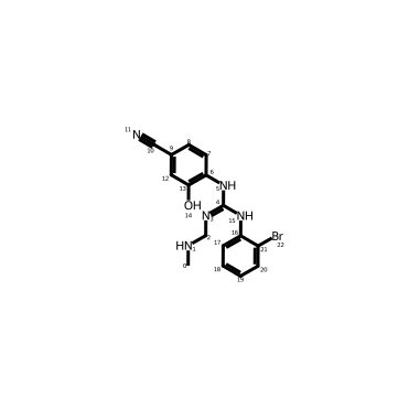 CNCN=C(Nc1ccc(C#N)cc1O)Nc1ccccc1Br